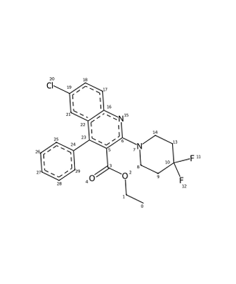 CCOC(=O)c1c(N2CCC(F)(F)CC2)nc2ccc(Cl)cc2c1-c1ccccc1